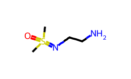 CS(C)(=O)=NCCN